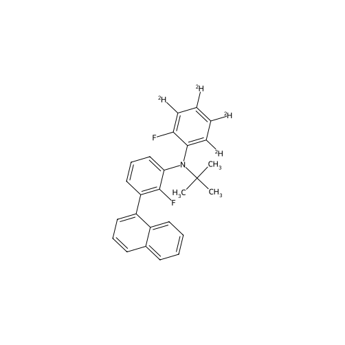 [2H]c1c([2H])c([2H])c(N(c2cccc(-c3cccc4ccccc34)c2F)C(C)(C)C)c(F)c1[2H]